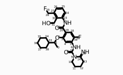 CC(Oc1cc(NC(=O)N2CCCCC2=N)c(F)cc1C(=O)Nc1cccc(CF)c1CO)C1CCCCC1